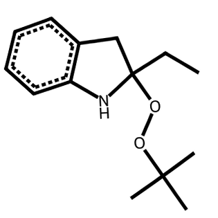 CCC1(OOC(C)(C)C)Cc2ccccc2N1